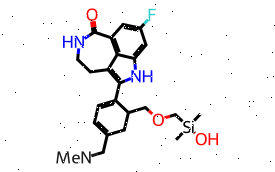 CNCC1=CC=C(c2[nH]c3cc(F)cc4c3c2CCNC4=O)C(COC[Si](C)(C)O)C1